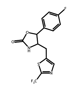 O=C1NC(Cc2cnc(C(F)(F)F)s2)C(c2ccc(F)cc2)O1